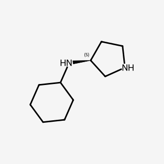 C1CCC(N[C@H]2CCNC2)CC1